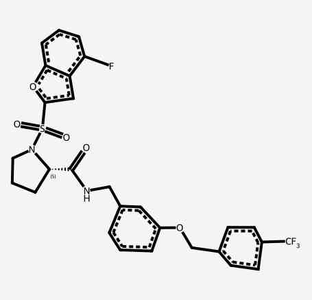 O=C(NCc1cccc(OCc2ccc(C(F)(F)F)cc2)c1)[C@@H]1CCCN1S(=O)(=O)c1cc2c(F)cccc2o1